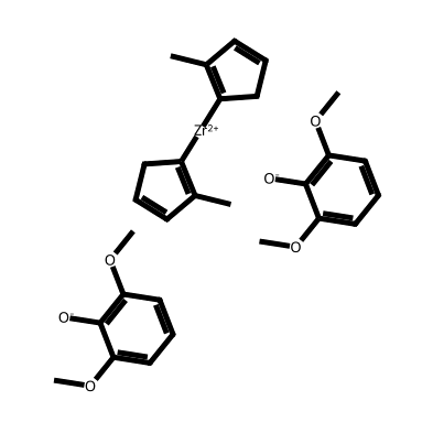 CC1=[C]([Zr+2][C]2=C(C)C=CC2)CC=C1.COc1cccc(OC)c1[O-].COc1cccc(OC)c1[O-]